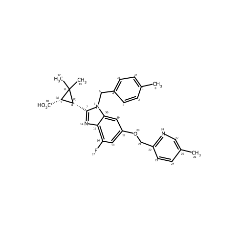 Cc1ccc(Cn2c([C@@H]3[C@H](C(=O)O)C3(C)C)nc3c(F)cc(OCc4ccc(C)cn4)cc32)cc1